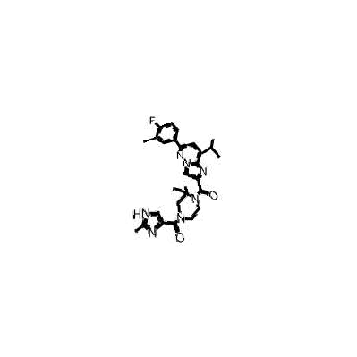 Cc1nc(C(=O)N2CCN(C(=O)c3cn4nc(-c5ccc(F)c(C)c5)cc(C(C)C)c4n3)C(C)(C)C2)c[nH]1